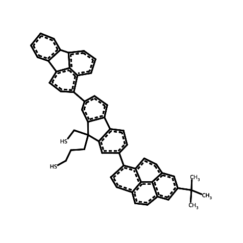 CC(C)(C)c1cc2ccc3ccc(-c4ccc5c(c4)C(CS)(CCCS)c4cc(-c6ccc7c8c(cccc68)-c6ccccc6-7)ccc4-5)c4ccc(c1)c2c34